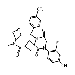 CN(C(=O)[C@H]1C[C@@]2(C1)C(=O)N(c1ccc(C#N)cc1F)CC(=O)N2Cc1ccc(C(F)(F)F)cc1)C1COC1